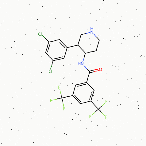 O=C(NC1CCNCC1c1cc(Cl)cc(Cl)c1)c1cc(C(F)(F)F)cc(C(F)(F)F)c1